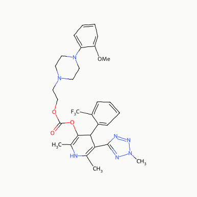 COc1ccccc1N1CCN(CCOC(=O)OC2=C(C)NC(C)=C(c3nnn(C)n3)C2c2ccccc2C(F)(F)F)CC1